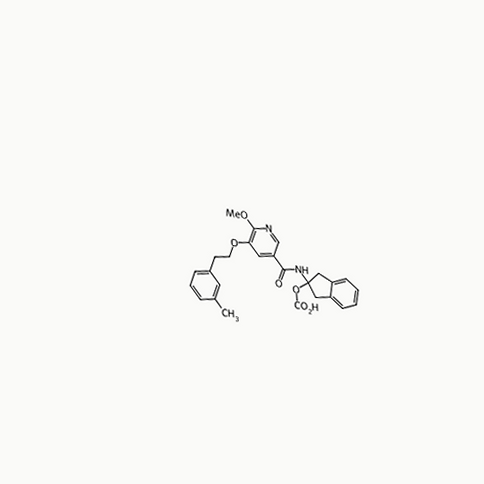 COc1ncc(C(=O)NC2(OC(=O)O)Cc3ccccc3C2)cc1OCCc1cccc(C)c1